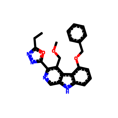 CCc1nnc(-c2ncc3[nH]c4cccc(OCc5ccccc5)c4c3c2COC)o1